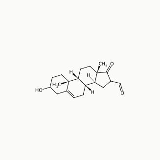 C[C@]12CCC(O)CC1=CC[C@@H]1[C@H]2CC[C@]2(C)C(=O)C(C=O)C[C@@H]12